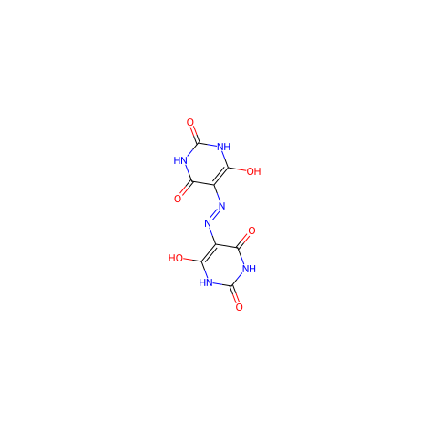 O=c1[nH]c(O)c(N=Nc2c(O)[nH]c(=O)[nH]c2=O)c(=O)[nH]1